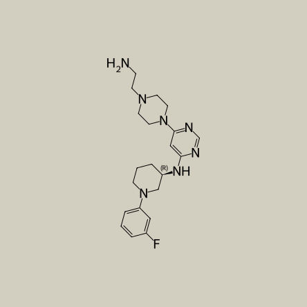 NCCN1CCN(c2cc(N[C@@H]3CCCN(c4cccc(F)c4)C3)ncn2)CC1